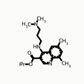 Cc1cc(C)c2ncc(C(=O)OC(C)C)c(NCCCN(C)C)c2c1